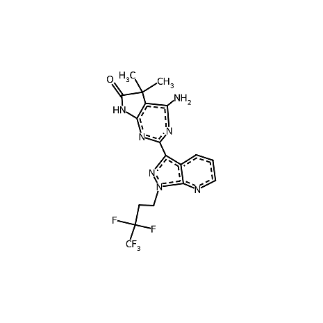 CC1(C)C(=O)Nc2nc(-c3nn(CCC(F)(F)C(F)(F)F)c4ncccc34)nc(N)c21